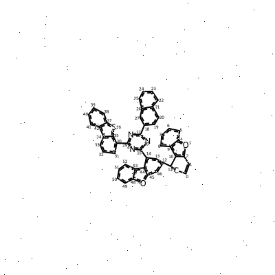 C1=Cc2oc3ccccc3c2C(c2cc(-c3nc(-c4ccc5ccccc5c4)nc(-c4cccc5c4sc4ccccc45)n3)c3c(c2)oc2ccccc23)C1